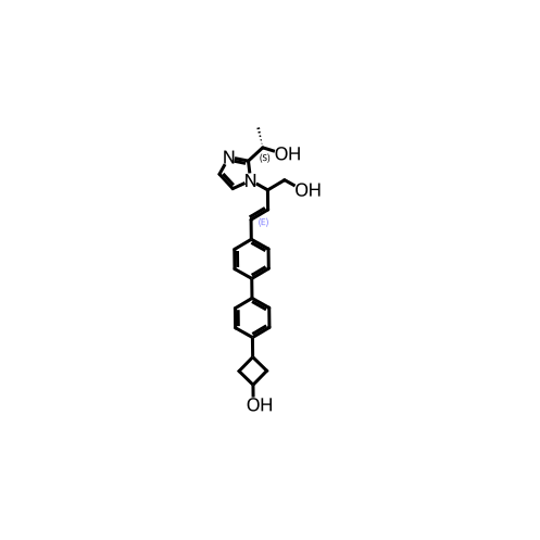 C[C@H](O)c1nccn1C(/C=C/c1ccc(-c2ccc(C3CC(O)C3)cc2)cc1)CO